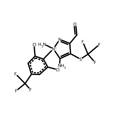 NC1=C(SC(F)(F)F)C(C=O)=N[N+]1(N)c1c(Cl)cc(C(F)(F)F)cc1Cl